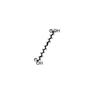 O=C(O)C/C=C/CCCCCCCCCCCCC(=O)O